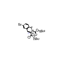 CCCCOC(=O)/C(=C/c1cc(Br)ccc1F)NC(=O)OC(C)(C)C